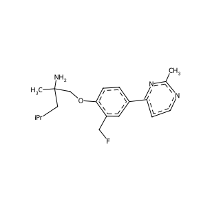 Cc1nccc(-c2ccc(OCC(C)(N)CC(C)C)c(CF)c2)n1